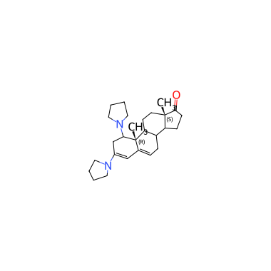 C[C@]12C(=CCC3C1CC[C@]1(C)C(=O)CCC31)C=C(N1CCCC1)CC2N1CCCC1